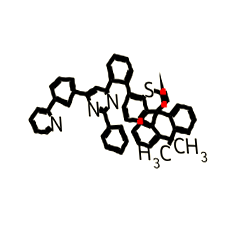 CC1(C)c2ccccc2C2(c3ccccc3Sc3c(-c4ccccc4-c4cc(-c5cccc(-c6ccccn6)c5)nc(-c5ccccc5)n4)cccc32)c2ccccc21